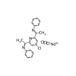 CC(=Nc1ccccc1)c1cc(Cl)cc(C(C)=Nc2ccccc2)n1.[Cl-].[Cl-].[Cl-].[Nd+3]